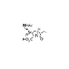 CC=C1C(=O)N2C(C(=O)O)=C([S+]([O-])C=CNC(C)=O)C[C@H]12